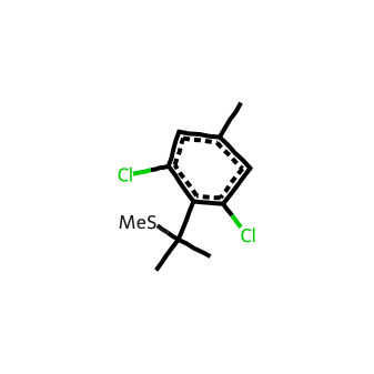 CSC(C)(C)c1c(Cl)cc(C)cc1Cl